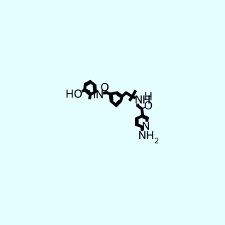 Cc1c(O)cccc1NC(=O)c1cccc(CC(C)(C)NC[C@H](O)c2ccc(N)nc2)c1